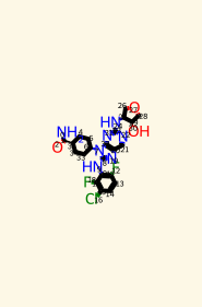 NC(=O)[C@H]1CC[C@@H](n2c(Nc3c(F)ccc(Cl)c3F)nc3cnc(N[C@H]4COC[C@@H]4O)nc32)CC1